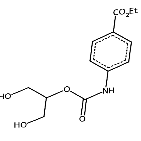 CCOC(=O)c1ccc(NC(=O)OC(CO)CO)cc1